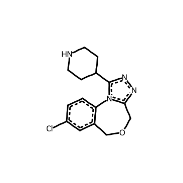 Clc1ccc2c(c1)COCc1nnc(C3CCNCC3)n1-2